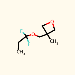 CCC(F)(F)OCC1(C)COC1